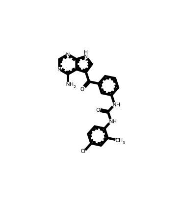 Cc1cc(Cl)ccc1NC(=O)Nc1cccc(C(=O)c2c[nH]c3ncnc(N)c23)c1